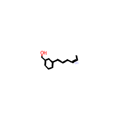 C/C=C\CCCC1CCC=C(CO)C1